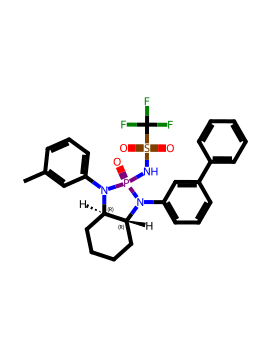 Cc1cccc(N2[C@@H]3CCCC[C@H]3N(c3cccc(-c4ccccc4)c3)P2(=O)NS(=O)(=O)C(F)(F)F)c1